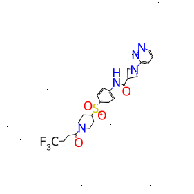 O=C(Nc1ccc(S(=O)(=O)C2CCN(C(=O)CCC(F)(F)F)CC2)cc1)C1CN(c2cccnn2)C1